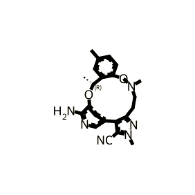 Cc1ccc2c(c1)[C@@H](C)Oc1cc(cnc1N)-c1c(nn(C)c1C#N)CCN(C)O2